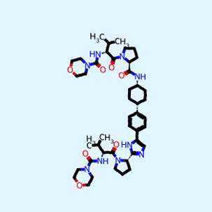 CC(C)[C@@H](NC(=O)N1CCOCC1)C(=O)N1CCC[C@H]1C(=O)N[C@H]1CC[C@@H](c2ccc(-c3cnc([C@@H]4CCCN4C(=O)[C@H](NC(=O)N4CCOCC4)C(C)C)[nH]3)cc2)CC1